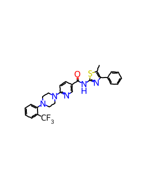 Cc1sc(NC(=O)c2ccc(N3CCN(c4ccccc4C(F)(F)F)CC3)nc2)nc1-c1ccccc1